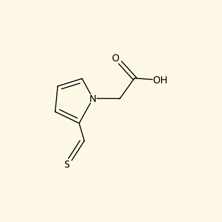 O=C(O)Cn1cccc1C=S